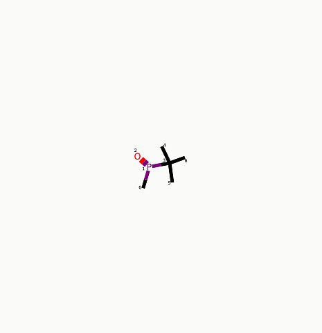 C[P](=O)C(C)(C)C